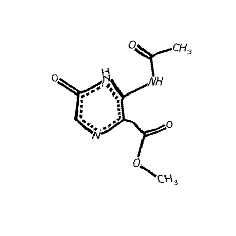 COC(=O)c1ncc(=O)[nH]c1NC(C)=O